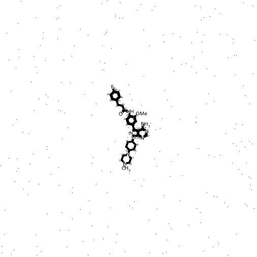 COc1cc(-c2nn(C3CCC(N4CCN(C)CC4)CC3)c3ncnc(N)c23)ccc1NC(=O)CCc1ccc(F)cc1